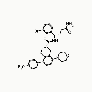 NC(=O)CC[C@H](NC(=O)N1CCc2c(-c3ccc(C(F)(F)F)cc3)ccc(N3CCOCC3)c2C1)c1cccc(Br)c1